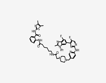 Cc1nc(NC(=O)c2ccccc2NC(=O)CCCCCNC(=O)CN2CCN(Cc3ccc(Nc4ncc(F)c(-c5cc(F)c6nc(C)n(C(C)C)c6c5)n4)nc3)CC2)sc1C